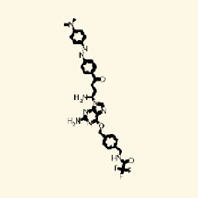 CN(C)c1ccc(N=Nc2ccc(C(=O)CCC(N)n3cnc4c(OCc5ccc(CNC(=O)C(F)(F)F)cc5)nc(N)nc43)cc2)cc1